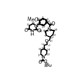 COc1ccc(C(=O)N2CCC(COCCC3CCN(C(=O)OC(C)(C)C)CC3)CC2)cc1N1CCC(=O)NC1=O